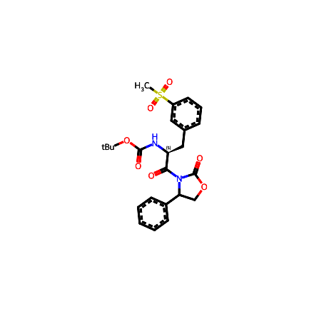 CC(C)(C)OC(=O)N[C@@H](Cc1cccc(S(C)(=O)=O)c1)C(=O)N1C(=O)OCC1c1ccccc1